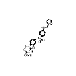 COC(=O)Nc1nc2cc(OS(=O)(=O)c3ccc(NCC4CCCO4)cc3)ccc2[nH]1